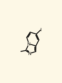 Cc1ncc2cc(I)ccn12